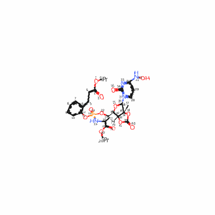 CC(C)OC(=O)CCc1ccccc1OP(=O)(NC(C)C(=O)OC(C)C)OC[C@H]1O[C@@H](n2ccc(NO)nc2=O)[C@]2(C)OC(=O)O[C@H]12